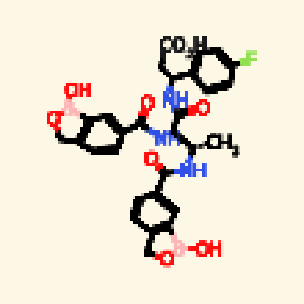 C[C@H](NC(=O)c1ccc2c(c1)B(O)OC2)[C@H](NC(=O)c1ccc2c(c1)B(O)OC2)C(=O)N[C@@H](CC(=O)O)c1ccc(F)cc1